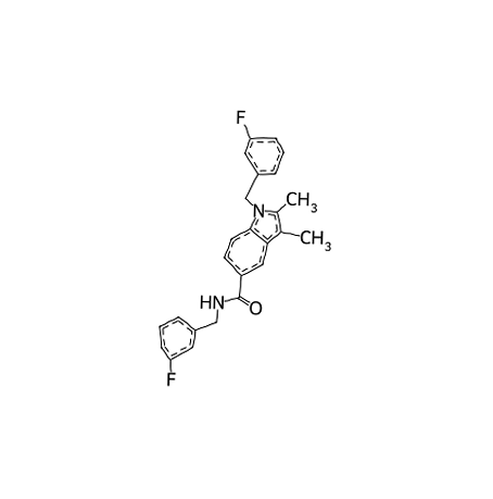 Cc1c(C)n(Cc2cccc(F)c2)c2ccc(C(=O)NCc3cccc(F)c3)cc12